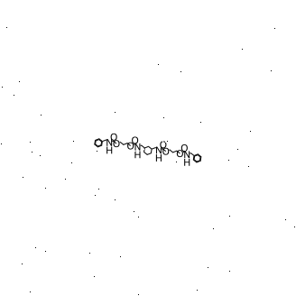 O=C(NCc1ccccc1)OCCCOC(=O)NCC1CCCC(CNC(=O)OCCCOC(=O)NCc2ccccc2)C1